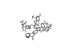 Cn1nc(NS(C)(=O)=O)c2c(Cl)ccc(-n3c([C@H](Cc4cc(F)cc(F)c4)NC(=O)Cn4nc(C(F)F)c5c4C(F)(F)[C@@H]4C[C@H]54)nc4cc(-c5ccccc5C(F)F)ccc4c3=O)c21